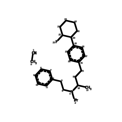 CC#N.CC(C)N(CCc1ccccc1)C(C)CCc1ccc(C2CCCCC2F)cc1